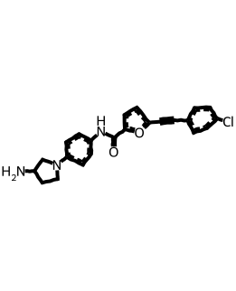 NC1CCN(c2ccc(NC(=O)c3ccc(C#Cc4ccc(Cl)cc4)o3)cc2)C1